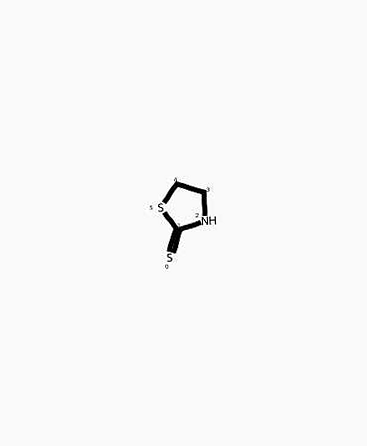 S=C1NC[CH]S1